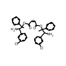 CC(OC(=O)/C=C\C(=O)OC(C)(c1ccccc1)C(N)c1cccc(Cl)c1)(c1ccccc1)C(N)c1cccc(Cl)c1